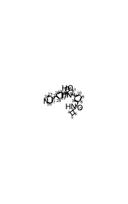 O=C(NC1CCC1)c1cccc(C(CO)NC(=O)c2ccc(-c3ccncc3)cc2)c1